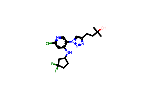 CC(C)(O)CCc1cn(-c2cnc(Cl)cc2NC2CCC(F)(F)C2)nn1